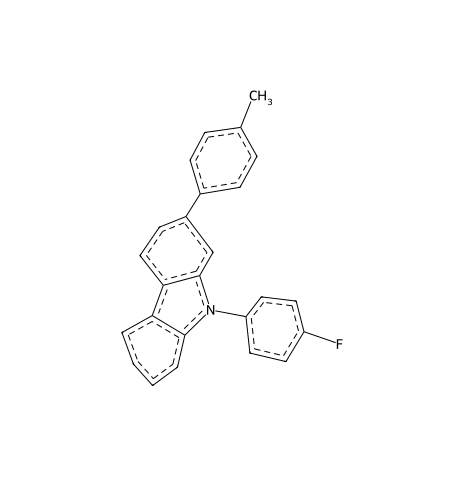 Cc1ccc(-c2ccc3c4ccccc4n(-c4ccc(F)cc4)c3c2)cc1